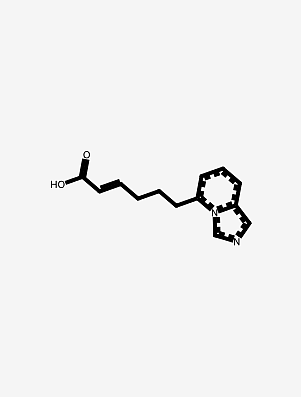 O=C(O)/C=C/CCCc1cccc2cncn12